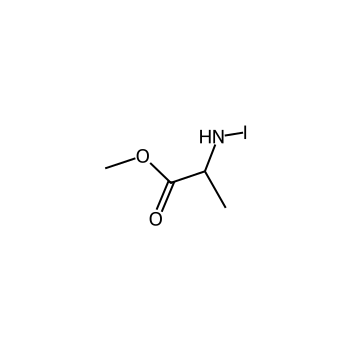 COC(=O)C(C)NI